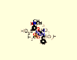 CN(C)C(=O)c1cc(Oc2nc(S(C)(=O)=O)nc(NC(Cc3ccccc3)C(=O)O)c2[N+](=O)[O-])cc(C(=O)O)c1